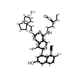 C#Cc1c(F)ccc2cc(O)cc(-c3ncc4c(NCCC(=C=O)CC)nc(OC[C@@]56CCCN5C[C@H](F)C6)nc4c3F)c12